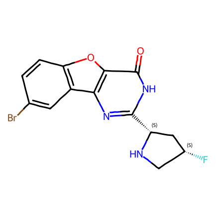 O=c1[nH]c([C@@H]2C[C@H](F)CN2)nc2c1oc1ccc(Br)cc12